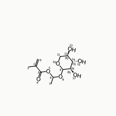 C=C(C)C(=O)OC(C)OC1OC[C@@H](O)[C@H](O)[C@H]1O